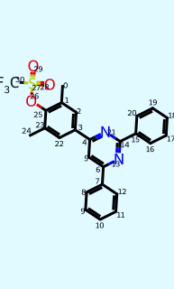 Cc1cc(-c2cc(-c3ccccc3)nc(-c3ccccc3)n2)cc(C)c1OS(=O)(=O)C(F)(F)F